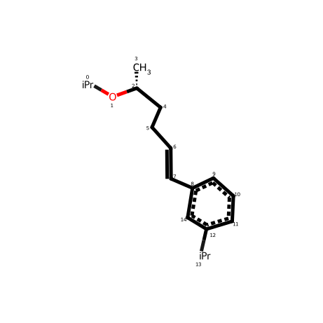 CC(C)O[C@H](C)CC/C=C/c1cccc(C(C)C)c1